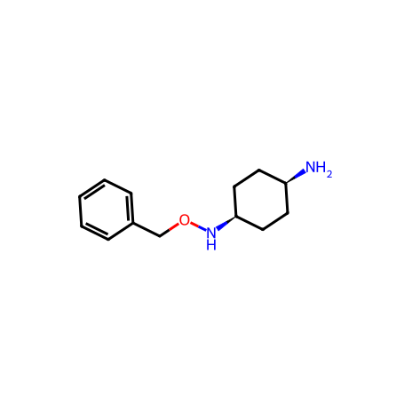 N[C@H]1CC[C@@H](NOCc2ccccc2)CC1